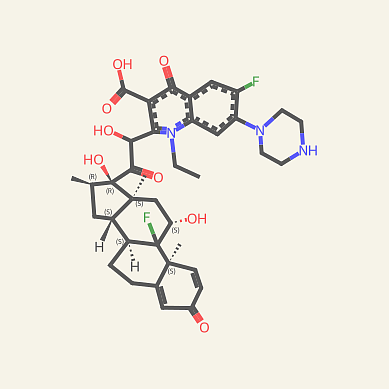 CCn1c(C(O)C(=O)[C@@]2(O)[C@H](C)C[C@H]3[C@@H]4CCC5=CC(=O)C=C[C@]5(C)C4(F)[C@@H](O)C[C@@]32C)c(C(=O)O)c(=O)c2cc(F)c(N3CCNCC3)cc21